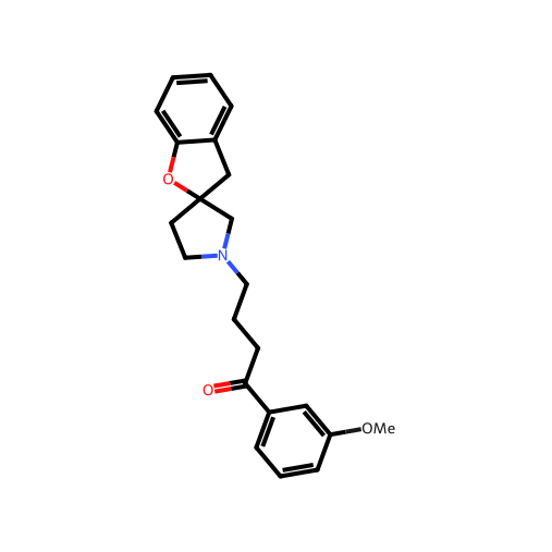 COc1cccc(C(=O)CCCN2CCC3(Cc4ccccc4O3)C2)c1